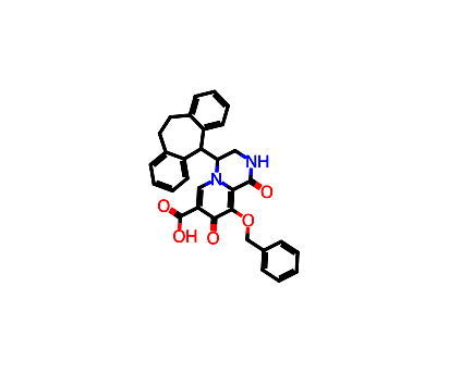 O=C(O)c1cn2c(c(OCc3ccccc3)c1=O)C(=O)NCC2C1c2ccccc2CCc2ccccc21